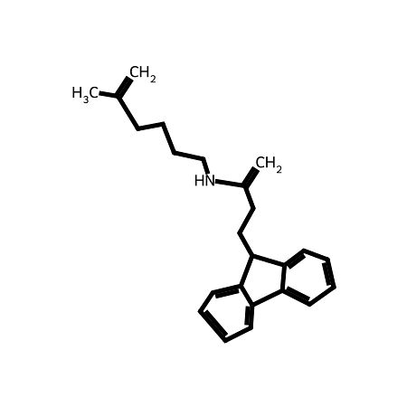 C=C(C)CCCCNC(=C)CCC1c2ccccc2-c2ccccc21